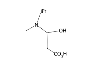 CC(C)N(C)C(O)CC(=O)O